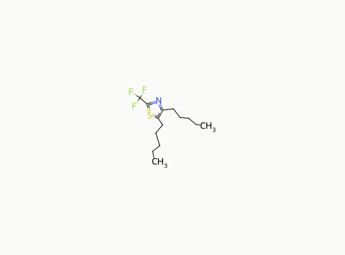 CCCCCc1nc(C(F)(F)F)sc1CCCCC